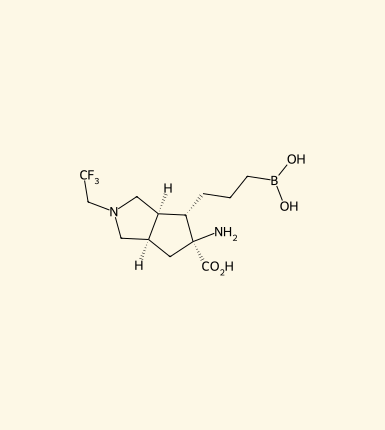 N[C@@]1(C(=O)O)C[C@H]2CN(CC(F)(F)F)C[C@H]2[C@@H]1CCCB(O)O